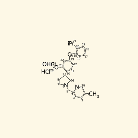 Cc1ccc(CN2CCC(c3ccc(Oc4ccccc4C(C)C)cc3OC=O)C2)nc1.Cl